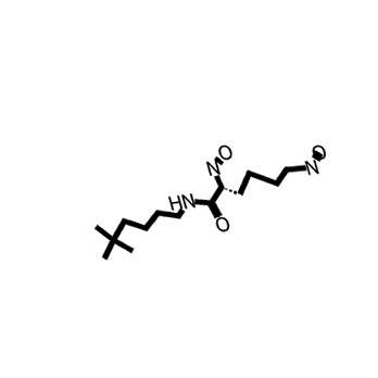 CC(C)(C)CCCCNC(=O)[C@@H](CCCCN=O)N=O